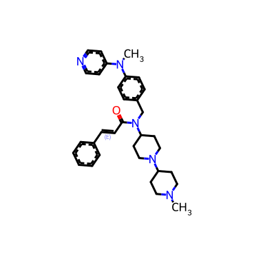 CN1CCC(N2CCC(N(Cc3ccc(N(C)c4ccncc4)cc3)C(=O)/C=C/c3ccccc3)CC2)CC1